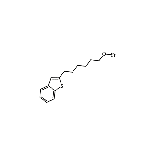 [CH2]COCCCCCCc1cc2ccccc2s1